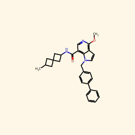 COc1ncc(C(=O)NC2CC3(CC(C)C3)C2)c2c1ccn2Cc1ccc(-c2ccccc2)cc1